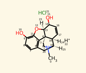 CN1CC[C@]23c4c5ccc(O)c4O[C@H]2[C@@H](O)C=C[C@H]3[C@H]1C5.Cl.[H+]